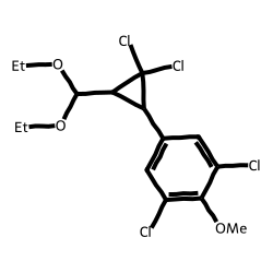 CCOC(OCC)C1C(c2cc(Cl)c(OC)c(Cl)c2)C1(Cl)Cl